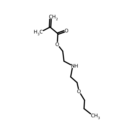 C=C(C)C(=O)OCCNCCOCCC